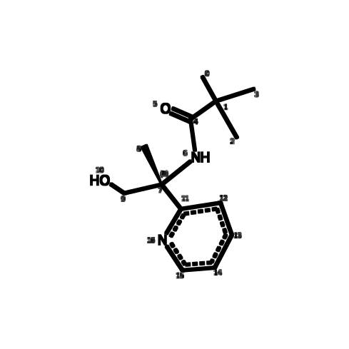 CC(C)(C)C(=O)N[C@@](C)(CO)c1ccccn1